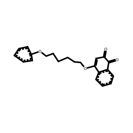 O=C1C=C(OCCCCCCOc2ccccc2)c2ccccc2C1=O